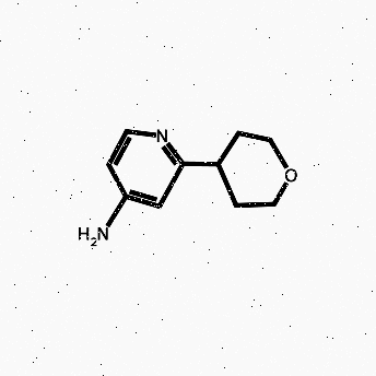 Nc1ccnc(C2CCOCC2)c1